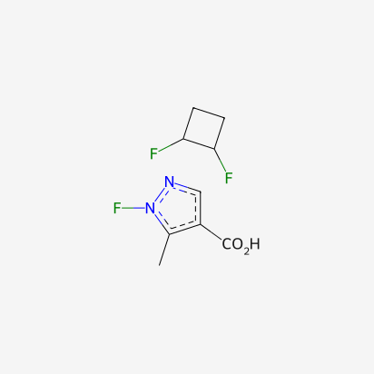 Cc1c(C(=O)O)cnn1F.FC1CCC1F